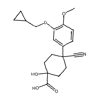 COc1ccc(C2(C#N)CCC(O)(C(=O)O)CC2)cc1OCC1CC1